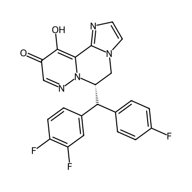 O=c1cnn2c(c1O)-c1nccn1C[C@@H]2C(c1ccc(F)cc1)c1ccc(F)c(F)c1